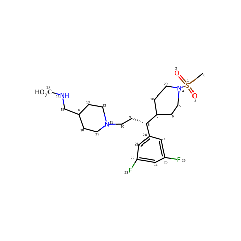 CS(=O)(=O)N1CCC([C@@H](CCN2CCC(CNC(=O)O)CC2)c2cc(F)cc(F)c2)CC1